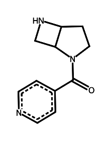 O=C(c1ccncc1)N1CCC2NCC21